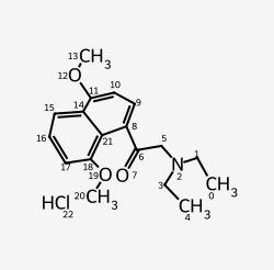 CCN(CC)CC(=O)c1ccc(OC)c2cccc(OC)c12.Cl